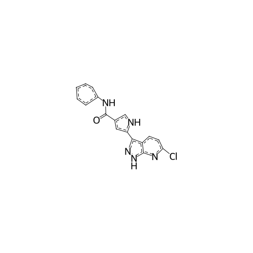 O=C(Nc1ccccc1)c1c[nH]c(-c2n[nH]c3nc(Cl)ccc23)c1